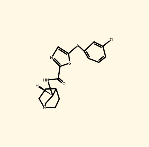 O=C(N[C@H]1CN2CCC1CC2)c1ncc(Sc2cccc(Cl)c2)s1